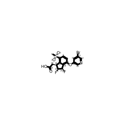 CS(=O)(=O)c1ccc(Oc2cncc(Br)c2)c2c1[C@H](CC(=O)O)[C@H](F)[C@@H]2F